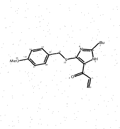 C=CC(=O)c1[nH]c(C(C)CC)nc1SCc1ccc(OC)cc1